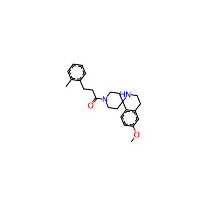 COc1ccc2c(c1)CCNC21CCN(C(=O)CCc2ccccc2C)CC1